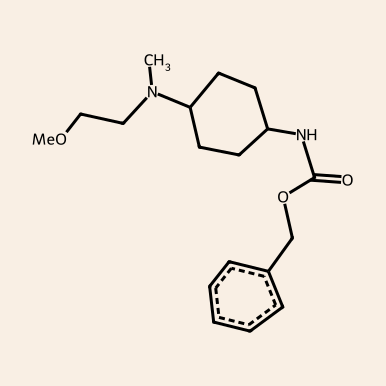 COCCN(C)C1CCC(NC(=O)OCc2ccccc2)CC1